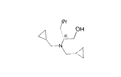 CC(C)C[C@H](CO)N(CC1CC1)CC1CC1